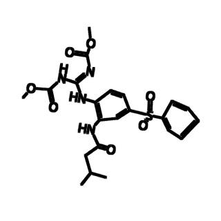 COC(=O)N=C(NC(=O)OC)Nc1ccc(S(=O)(=O)c2ccccc2)cc1NC(=O)CC(C)C